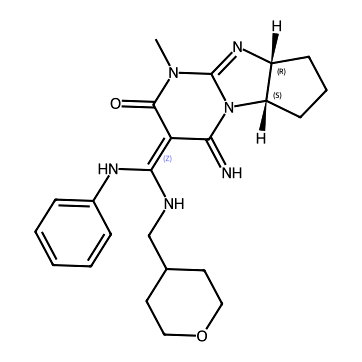 Cn1c(=O)/c(=C(/NCC2CCOCC2)Nc2ccccc2)c(=N)n2c1=N[C@@H]1CCC[C@@H]12